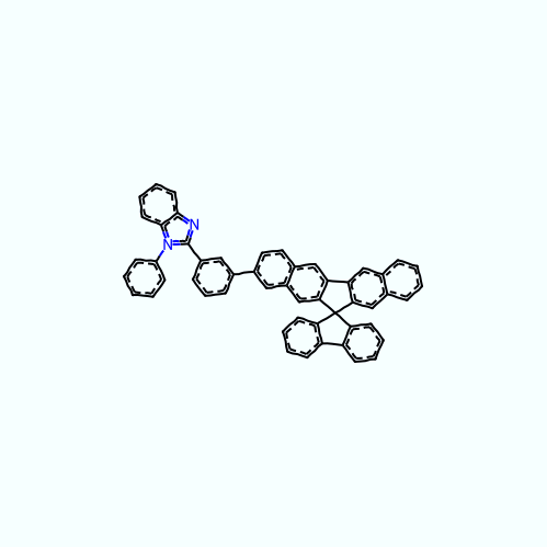 c1ccc(-n2c(-c3cccc(-c4ccc5cc6c(cc5c4)C4(c5ccccc5-c5ccccc54)c4cc5ccccc5cc4-6)c3)nc3ccccc32)cc1